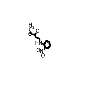 COC(=O)CCNc1ccccc1[N+](=O)[O-]